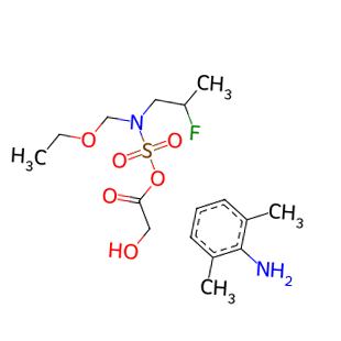 CCOCN(CC(C)F)S(=O)(=O)OC(=O)CO.Cc1cccc(C)c1N